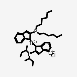 CCCCCCP(CCCCCC)C1=Cc2ccccc2[CH]1[Ti+2][CH]1C(P(C(C)CC)C(C)CC)=Cc2ccccc21.[Cl-].[Cl-]